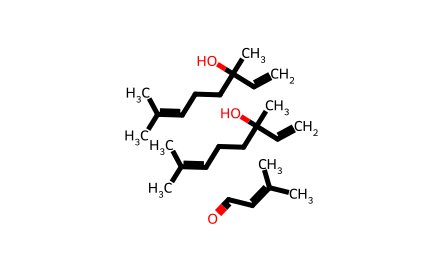 C=CC(C)(O)CCC=C(C)C.C=CC(C)(O)CCC=C(C)C.CC(C)=CC=O